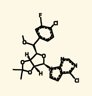 COC(c1ccc(Cl)c(F)c1)[C@H]1O[C@@H](n2ccc3c(Cl)ncnc32)[C@@H]2OC(C)(C)O[C@@H]21